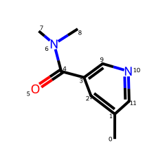 Cc1[c]c(C(=O)N(C)C)cnc1